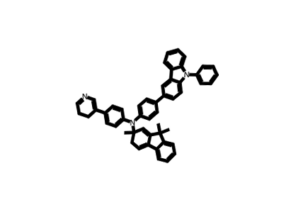 CC1(C)C2=CC(C)(N(c3ccc(C4=CN=CCC4)cc3)c3ccc(-c4ccc5c(c4)c4ccccc4n5-c4ccccc4)cc3)CC=C2c2ccccc21